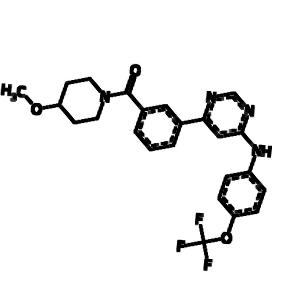 COC1CCN(C(=O)c2cccc(-c3cc(Nc4ccc(OC(F)(F)F)cc4)ncn3)c2)CC1